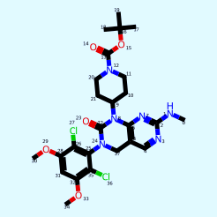 CNc1ncc2c(n1)N(C1CCN(C(=O)OC(C)(C)C)CC1)C(=O)N(c1c(Cl)c(OC)cc(OC)c1Cl)C2